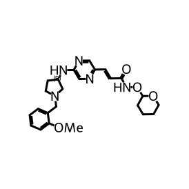 COc1ccccc1CN1CC[C@@H](Nc2cnc(C=CC(=O)NOC3CCCCO3)cn2)C1